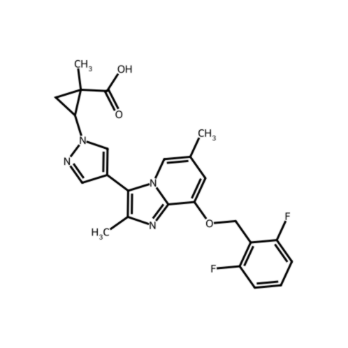 Cc1cc(OCc2c(F)cccc2F)c2nc(C)c(-c3cnn(C4CC4(C)C(=O)O)c3)n2c1